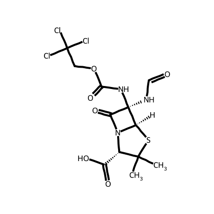 CC1(C)S[C@H]2N(C(=O)[C@@]2(NC=O)NC(=O)OCC(Cl)(Cl)Cl)[C@H]1C(=O)O